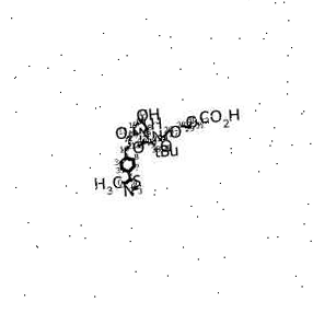 Cc1ncsc1-c1ccc(CCC(=O)[C@@H]2C[C@@H](O)CN2C(=O)[C@@H](NC(=O)COCCOCC(=O)O)C(C)(C)C)cc1